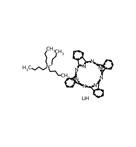 CCCC[N+](CCCC)(CCCC)CCCC.[LiH].c1ccc2c(c1)-c1nc-2nc2[nH]c(nc3nc(nc4[nH]c(n1)c1ccccc41)-c1ccccc1-3)c1ccccc21